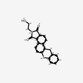 O=C1c2ccc3c4c(ccc3c2C(=O)N1CCO)Sc1ccccc1C4